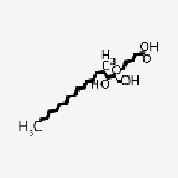 CCCCCCCCCCCCCCC(C)C(O)[C@H](CO)OCCCCC(=O)O